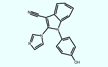 N#Cc1c(-n2ccnc2)n(-c2ccc(O)cc2)c2ccccc12